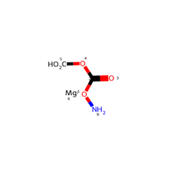 NOC(=O)OC(=O)O.[Mg]